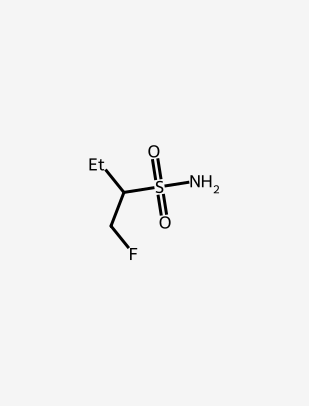 CCC(CF)S(N)(=O)=O